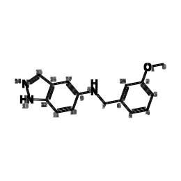 COc1cccc(CNc2ccc3[nH]ncc3c2)c1